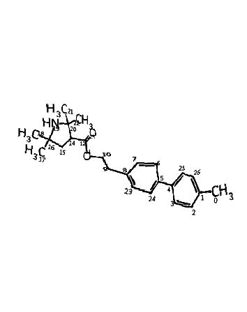 Cc1ccc(-c2ccc(CCOC(=O)C3CC(C)(C)NC3(C)C)cc2)cc1